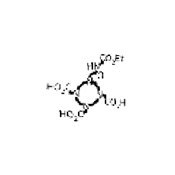 CCOC(=O)CNC(=O)CN1CCN(CC(=O)O)CCN(CC(=O)O)CCN(CC(=O)O)CC1